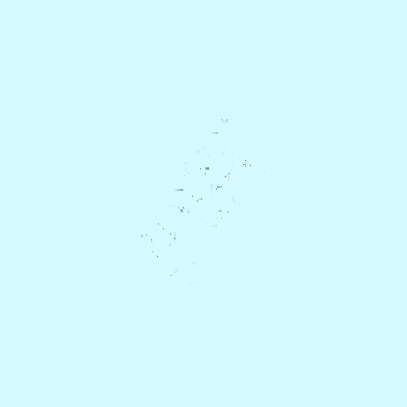 Cc1cccc(-c2nnn(Cc3cc(C(=O)Nc4c(C)cc(Cl)cc4C(N)=O)n(-c4ncccc4Cl)n3)n2)c1